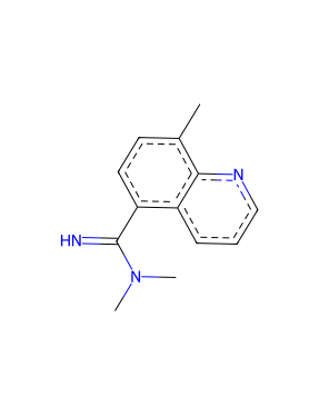 Cc1ccc(C(=N)N(C)C)c2cccnc12